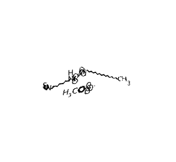 CCCCCCCCCCCCCCCCC[C@H]1OC[C@H](COC(=O)NCCCCCCC[n+]2ccsc2)O1.Cc1ccc(S(=O)(=O)[O-])cc1